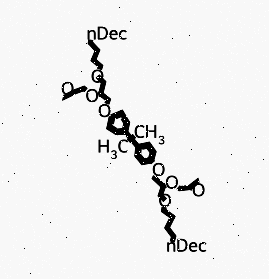 CCCCCCCCCCCCCCOCC(COc1ccc(C(C)(C)c2ccc(OCC(COCCCCCCCCCCCCCC)OCC3CO3)cc2)cc1)OCC1CO1